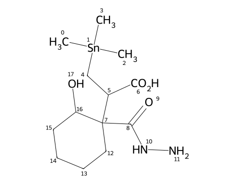 [CH3][Sn]([CH3])([CH3])[CH2]C(C(=O)O)C1(C(=O)NN)CCCCC1O